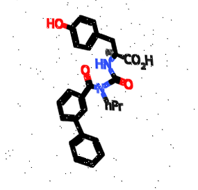 CCCN(C(=O)N[C@@H](Cc1ccc(O)cc1)C(=O)O)C(=O)c1cccc(-c2ccccc2)c1